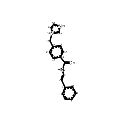 O=C(NC=Cc1ccccc1)c1ccc(Cn2ccnc2)cc1